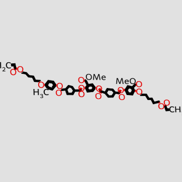 C=CC(=O)OCCCCCCOc1ccc(OC(=O)C2CCC(C(=O)Oc3ccc(OC(=O)C4CCC(C(=O)Oc5ccc(OCCCCCCOC(=O)C=C)c(C(=O)OC)c5)CC4)cc3C(=O)OC)CC2)cc1C